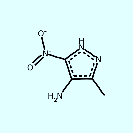 Cc1n[nH]c([N+](=O)[O-])c1N